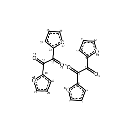 O=C(C(=O)c1ccco1)c1ccco1.O=C(C(=O)c1ccco1)c1ccco1